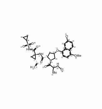 C=C[C@@H]1C[C@]1(NC(=O)[C@@H]1C[C@@H](Oc2ccc(OC)c3ccc(Cl)cc23)CN1C(=O)C(NCC)C(C)(C)C)C(=O)NS(=O)(=O)C1CC1